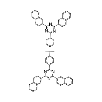 CC(C)(c1ccc(-c2nc(-c3ccc4ccccc4c3)nc(-c3ccc4ccccc4c3)n2)cc1)c1ccc(-c2nc(-c3ccc4ccccc4c3)nc(-c3ccc4ccccc4c3)n2)cc1